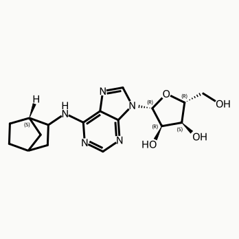 OC[C@H]1O[C@@H](n2cnc3c(NC4CC5CC[C@H]4C5)ncnc32)[C@H](O)[C@@H]1O